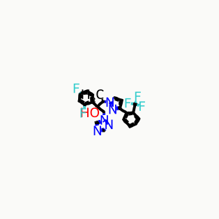 C[C@@H](n1ccc(-c2ccccc2C(F)(F)F)n1)[C@](O)(Cn1cncn1)c1ccc(F)cc1F